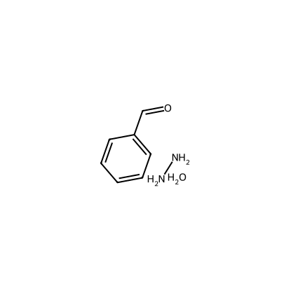 NN.O.O=Cc1ccccc1